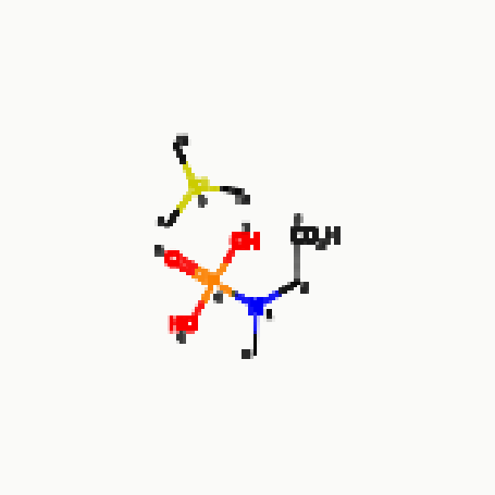 CN(CC(=O)O)P(=O)(O)O.C[S+](C)C